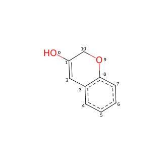 OC1=Cc2ccccc2OC1